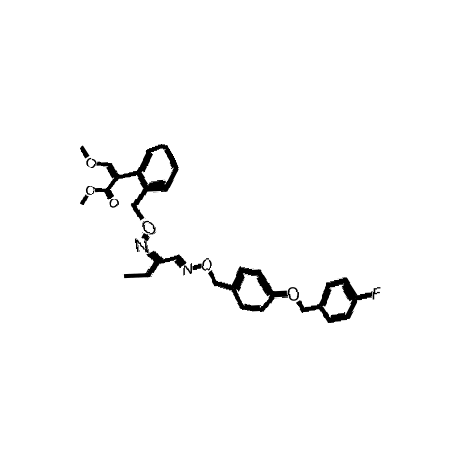 CCC(/C=N/OCc1ccc(OCc2ccc(F)cc2)cc1)=N/OCc1ccccc1/C(=C/OC)C(=O)OC